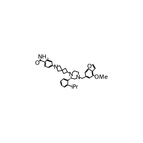 COc1cc(CN2CCN(C3CC4(C3)CN(c3ccc(C(N)=O)cc3)C4)[C@H](c3ccccc3C(C)C)C2)cc2occc12